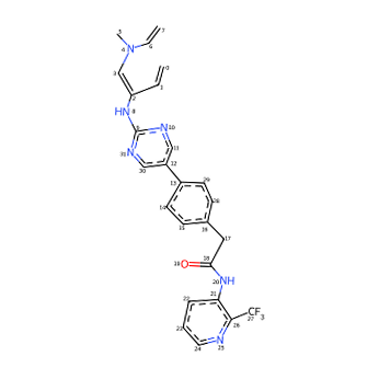 C=C/C(=C\N(C)C=C)Nc1ncc(-c2ccc(CC(=O)Nc3cccnc3C(F)(F)F)cc2)cn1